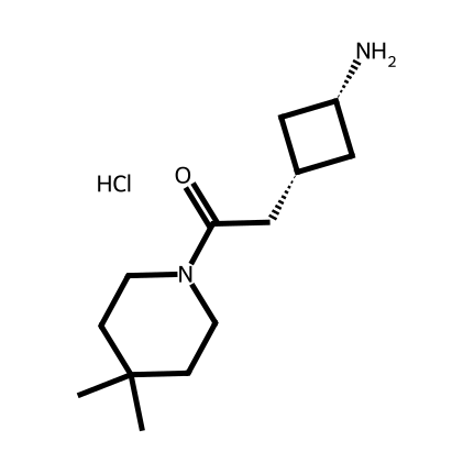 CC1(C)CCN(C(=O)C[C@H]2C[C@@H](N)C2)CC1.Cl